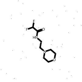 O=C(NCCN1CCOCC1)C(F)F